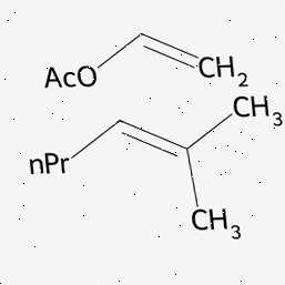 C=COC(C)=O.CCCC=C(C)C